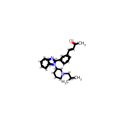 CC(=O)/C=C/c1cccc(-c2nc3ccccc3n2C2CCCN(CC(C)C)C2)c1